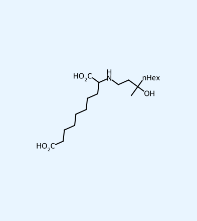 CCCCCCC(C)(O)CCNC(CCCCCCCC(=O)O)C(=O)O